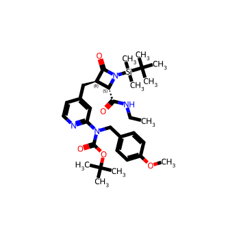 CCNC(=O)[C@@H]1[C@@H](Cc2ccnc(N(Cc3ccc(OC)cc3)C(=O)OC(C)(C)C)c2)C(=O)N1[Si](C)(C)C(C)(C)C